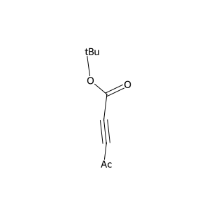 CC(=O)C#CC(=O)OC(C)(C)C